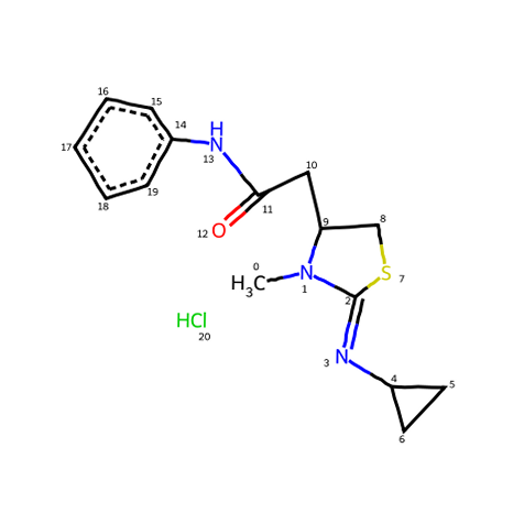 CN1/C(=N/C2CC2)SCC1CC(=O)Nc1ccccc1.Cl